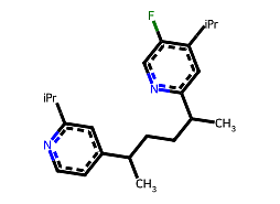 CC(C)c1cc(C(C)CCC(C)c2cc(C(C)C)c(F)cn2)ccn1